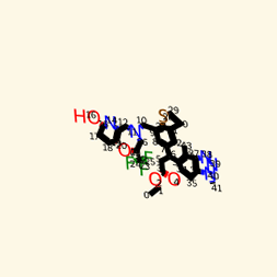 CCOC(=O)CC(c1cc(CN2Cc3nc(O)ccc3O[C@@H](C(F)(F)F)C2)c2sccc2c1)c1ccc2c(nnn2C)c1C